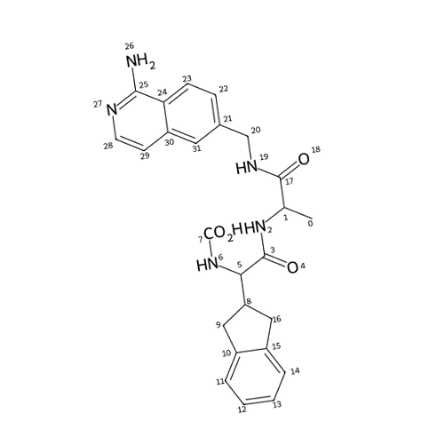 CC(NC(=O)C(NC(=O)O)C1Cc2ccccc2C1)C(=O)NCc1ccc2c(N)nccc2c1